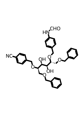 N#Cc1ccc(CO[C@H](COCc2ccccc2)[C@@H](O)[C@H](O)[C@@H](COCc2ccccc2)OCc2ccc(NC=O)cc2)cc1